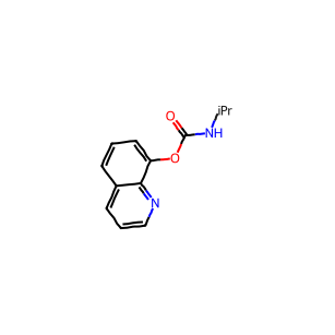 CC(C)NC(=O)Oc1cccc2cccnc12